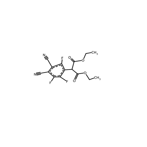 CCOC(=O)C(C(=O)OCC)c1c(F)c(F)c(C#N)c(C#N)c1F